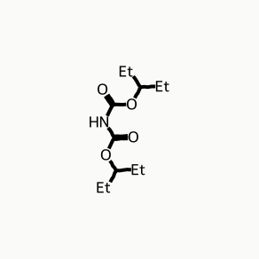 CCC(CC)OC(=O)NC(=O)OC(CC)CC